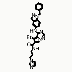 CCc1c(C(=O)NCCCn2ccnc2)cn2ncnc(Nc3ccc4c(cnn4Cc4ccccc4)c3)c12